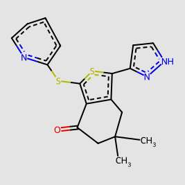 CC1(C)CC(=O)c2c(Sc3ccccn3)sc(-c3cc[nH]n3)c2C1